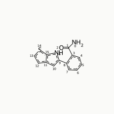 NC(=O)c1ccccc1-c1cc2ccsc2[nH]1